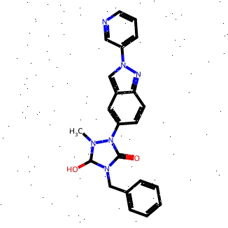 CN1C(O)N(Cc2ccccc2)C(=O)N1c1ccc2nn(-c3cccnc3)cc2c1